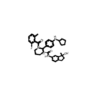 Cc1cccc(F)c1C(=O)N1CCC[C@H](C(=O)Nc2ccc3c(c2)C(C)(O)CC3)C1c1ccc(NC2CCCC2)cc1